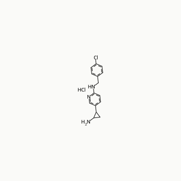 Cl.NC1CC1c1ccc(NCc2ccc(Cl)cc2)nc1